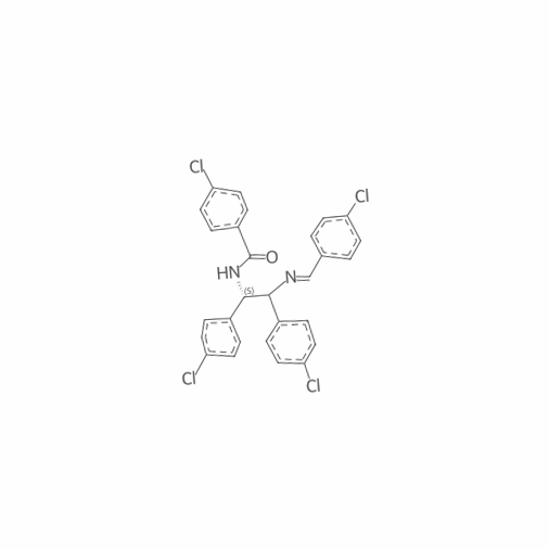 O=C(N[C@@H](c1ccc(Cl)cc1)C(N=Cc1ccc(Cl)cc1)c1ccc(Cl)cc1)c1ccc(Cl)cc1